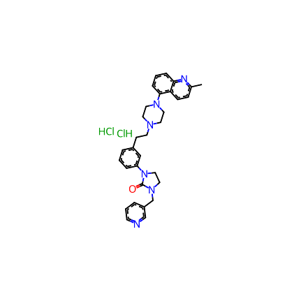 Cc1ccc2c(N3CCN(CCc4cccc(N5CCN(Cc6cccnc6)C5=O)c4)CC3)cccc2n1.Cl.Cl